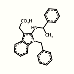 CC(Nc1c(CC(=O)O)c2ccccc2n1Cc1ccccc1)c1ccccc1